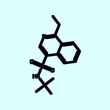 CCc1ncc(S(=O)(=O)NC(C)(C)C)c2ccccc12